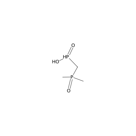 CP(C)(=O)C[PH](=O)O